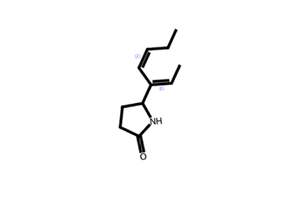 C/C=C(\C=C/CC)C1CCC(=O)N1